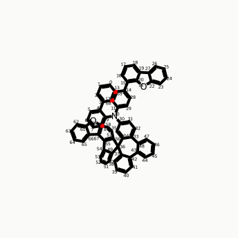 c1ccc(-c2ccccc2N(c2ccc(-c3cccc4c3oc3ccccc34)cc2)c2ccc3c(c2)C2(c4ccccc4-c4ccccc4-3)c3ccccc3-c3c2ccc2oc4ccccc4c32)cc1